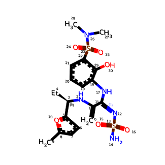 C=C(N[C@H](CC)c1ccc(C)o1)/C(=N\S(N)(=O)=O)Nc1cccc(S(=O)(=O)N(C)C)c1O